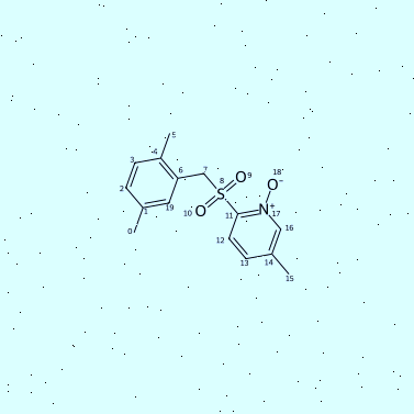 Cc1ccc(C)c(CS(=O)(=O)c2ccc(C)c[n+]2[O-])c1